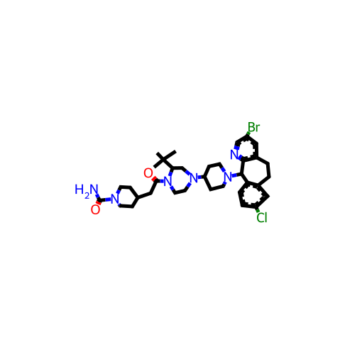 CC(C)(C)C1CN(C2CCN(C3c4ccc(Cl)cc4CCc4cc(Br)cnc43)CC2)CCN1C(=O)CC1CCN(C(N)=O)CC1